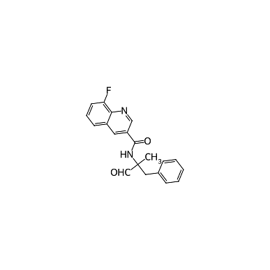 CC(C=O)(Cc1ccccc1)NC(=O)c1cnc2c(F)cccc2c1